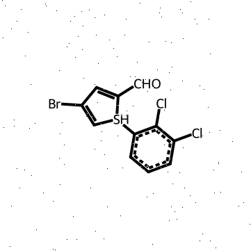 O=CC1=CC(Br)=C[SH]1c1cccc(Cl)c1Cl